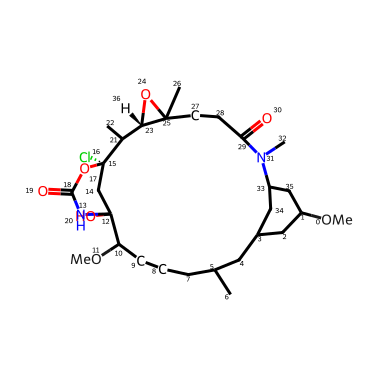 COC1CC2CC(C)CCCC(OC)C3(O)C[C@@](Cl)(OC(=O)N3)C(C)[C@@H]3OC3(C)CCC(=O)N(C)C(C2)C1